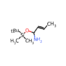 CC=CC(N)O[Si](C)(C)C(C)(C)C